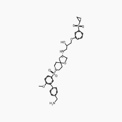 COc1ccc(S(=O)(=O)N2CCC3(CC2)C[C@H](NCC(O)COc2cccc(S(=O)(=O)C4CC4)c2)CO3)cc1-c1ccc(CN)cc1